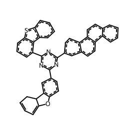 C1=CCC2C(=C1)Oc1ccc(-c3nc(-c4ccc5c(ccc6c7ccccc7ccc56)c4)nc(-c4cccc5sc6ccccc6c45)n3)cc12